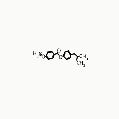 CCC(C)Cc1ccc(OC(=O)c2ccc(OC)cc2)cc1